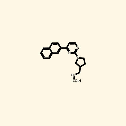 O=C(O)NCC1CCN(c2nccc(-c3ccc4ccccc4c3)n2)C1